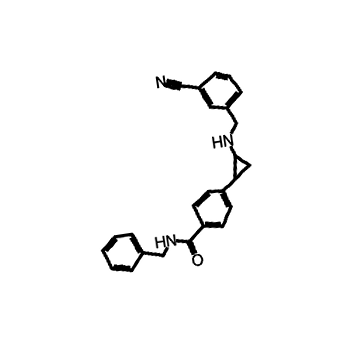 N#Cc1cccc(CNC2CC2c2ccc(C(=O)NCc3ccccc3)cc2)c1